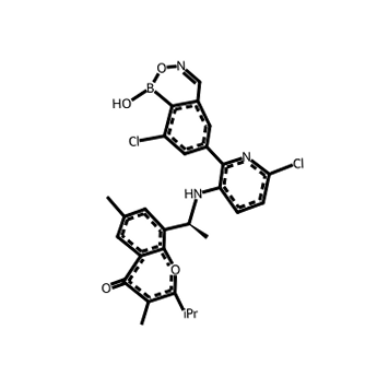 Cc1cc([C@H](C)Nc2ccc(Cl)nc2-c2cc(Cl)c3c(c2)C=NOB3O)c2oc(C(C)C)c(C)c(=O)c2c1